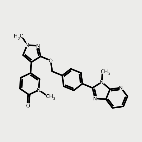 Cn1cc(-c2ccc(=O)n(C)c2)c(OCc2ccc(-c3nc4cccnc4n3C)cc2)n1